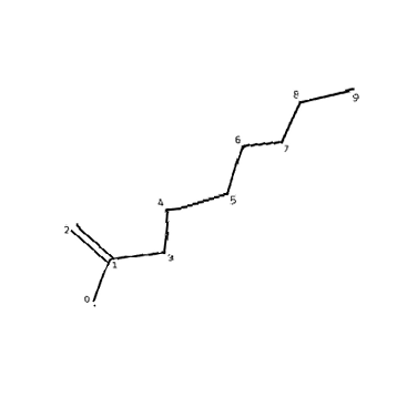 [CH2]C(=C)CCCCCCC